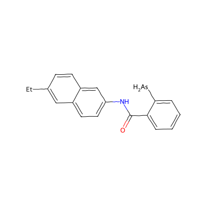 CCc1ccc2cc(NC(=O)c3ccccc3[AsH2])ccc2c1